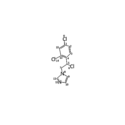 Clc1ccc(C(Cl)Cn2ccnc2)c(Cl)c1